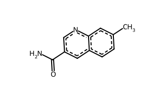 Cc1ccc2cc(C(N)=O)cnc2c1